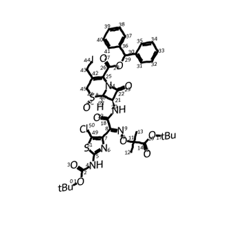 CC(C)(C)OC(=O)Nc1nc(C(=NOC(C)(C)C(=O)OC(C)(C)C)C(=O)N[C@@H]2C(=O)N3C(C(=O)OC(c4ccccc4)c4ccccc4)=C(CI)C[S+]([O-])[C@H]23)c(Cl)s1